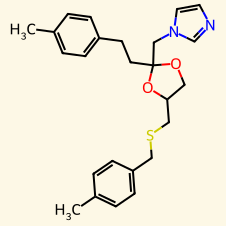 Cc1ccc(CCC2(Cn3ccnc3)OCC(CSCc3ccc(C)cc3)O2)cc1